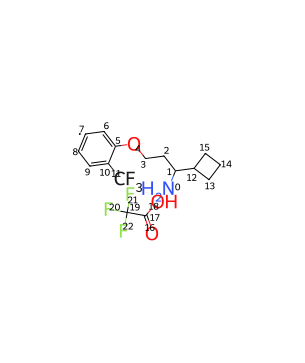 NC(CCOc1c[c]ccc1C(F)(F)F)C1CCC1.O=C(O)C(F)(F)F